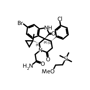 CC1([C@H]2N(CC(N)=O)C(=O)C[C@@H](c3cccc(Cl)c3)[C@]23C(=O)Nc2cc(Br)ccc23)CC1.COCC[Si](C)(C)C